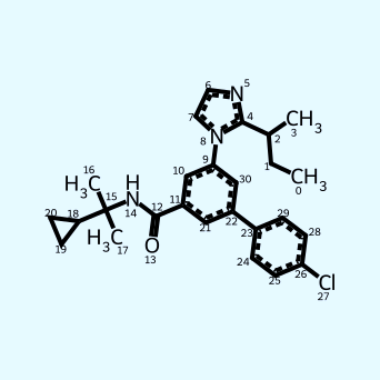 CCC(C)c1nccn1-c1cc(C(=O)NC(C)(C)C2CC2)cc(-c2ccc(Cl)cc2)c1